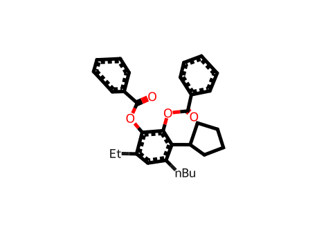 CCCCc1cc(CC)c(OC(=O)c2ccccc2)c(OC(=O)c2ccccc2)c1C1CCCC1